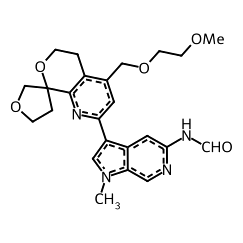 COCCOCc1cc(-c2cn(C)c3cnc(NC=O)cc23)nc2c1CCOC21CCOC1